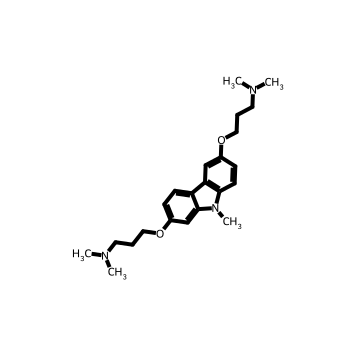 CN(C)CCCOc1ccc2c(c1)c1ccc(OCCCN(C)C)cc1n2C